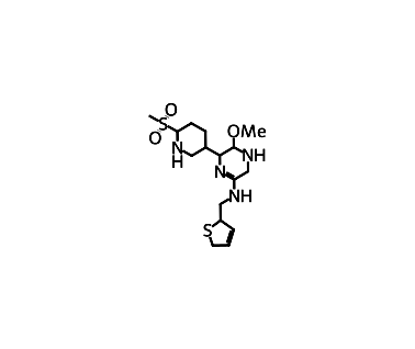 COC1NCC(NCC2C=CCS2)=NC1C1CCC(S(C)(=O)=O)NC1